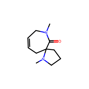 CN1CC=CCC2(CCCN2C)C1=O